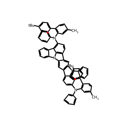 Cc1ccc(-c2ccc(C(C)(C)C)cc2)c(N(c2ccccc2)c2ccc3c4cc5c(cc4n4c6ccccc6c2c34)c2ccc(N(c3ccccc3)c3cc(C)ccc3-c3ccc(C(C)(C)C)cc3)c3c4ccccc4n5c23)c1